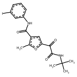 Cc1oc(C(=O)C(=O)NC(C)(C)C)cc1C(=O)Nc1cccc(I)c1